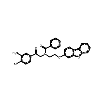 Nc1cc(C(=O)CN(CCOc2ccc3c(c2)oc2ccccc23)C(=O)c2ccccc2)ccc1Cl